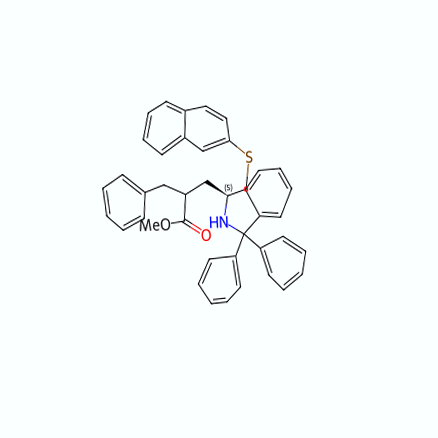 COC(=O)C(Cc1ccccc1)C[C@@H](CSc1ccc2ccccc2c1)NC(c1ccccc1)(c1ccccc1)c1ccccc1